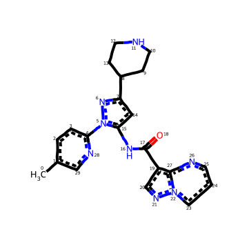 Cc1ccc(-n2nc(C3CCNCC3)cc2NC(=O)c2cnn3cccnc23)nc1